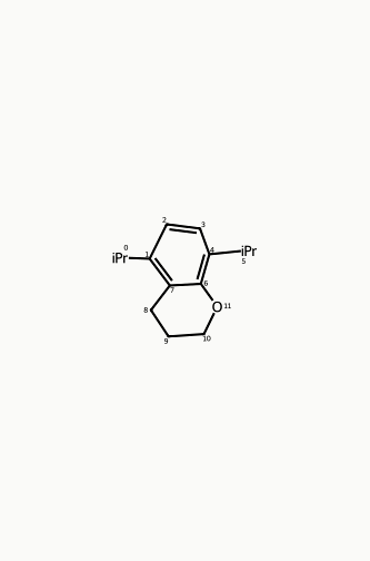 CC(C)c1ccc(C(C)C)c2c1CCCO2